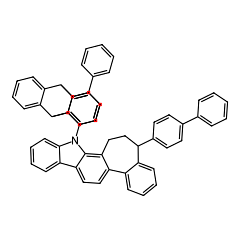 c1ccc(-c2ccc(C3CCc4c(ccc5c6ccccc6n(-c6ccc(-c7ccccc7)c7c6C6c8ccccc8C7c7ccccc76)c45)-c4ccccc43)cc2)cc1